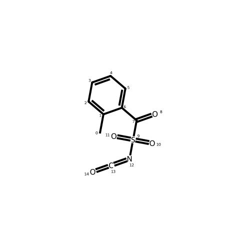 Cc1ccccc1C(=O)S(=O)(=O)N=C=O